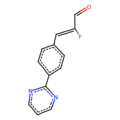 O=CC(F)=Cc1ccc(-c2ncccn2)cc1